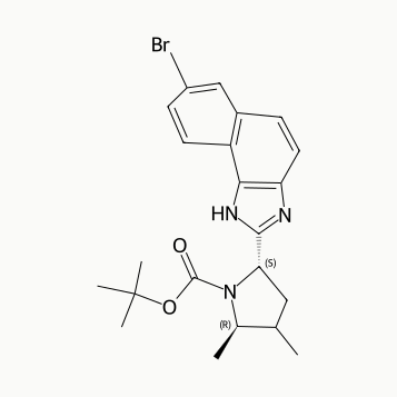 CC1C[C@@H](c2nc3ccc4cc(Br)ccc4c3[nH]2)N(C(=O)OC(C)(C)C)[C@@H]1C